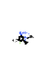 Cc1cc(NN)c(NCC(C)(C)C)c(C2CC2)c1F